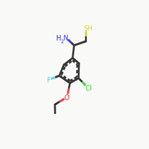 CCOc1c(F)cc(C(N)CS)cc1Cl